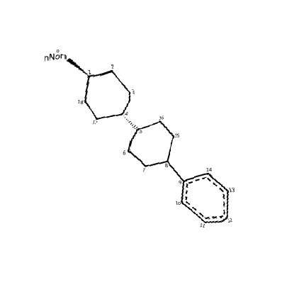 CCCCCCCCC[C@H]1CC[C@H](C2CCC(c3ccccc3)CC2)CC1